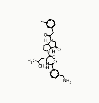 CC(C)C[C@H](NC(=O)c1cccc(CN)c1)C(=O)N1CC[C@@H]2[C@H]1C(=O)CN2C(=O)Cc1cccc(F)c1